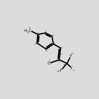 Cc1ccc(/C=C(\Cl)C(F)(F)F)cc1